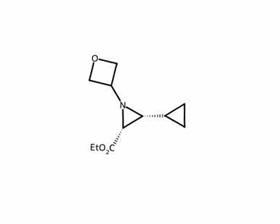 CCOC(=O)[C@H]1[C@@H](C2CC2)N1C1COC1